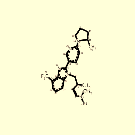 CCN(C)/C=C\C(C)Cn1c(-c2ccc(N3CCCC3C)nc2)nc2c(C(F)(F)F)cccc21